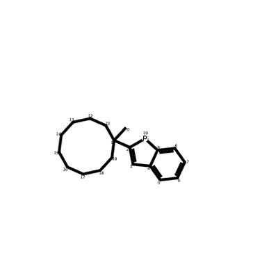 CC1(C2=Cc3ccccc3[P]2)CCCCCCCCC1